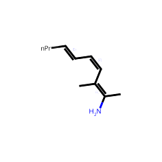 CCC/C=C/C=C\C(C)=C(/C)N